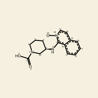 O=C(O)N1CCC[C@@H](Nc2c3ccccc3cc[n+]2[O-])C1